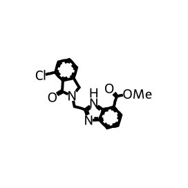 COC(=O)c1cccc2nc(CN3Cc4cccc(Cl)c4C3=O)[nH]c12